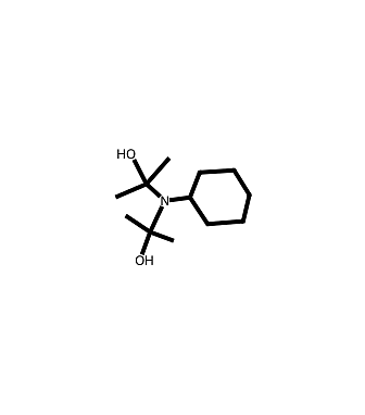 CC(C)(O)N(C1CCCCC1)C(C)(C)O